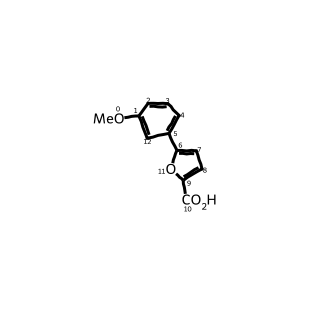 COc1cccc(-c2ccc(C(=O)O)o2)c1